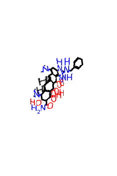 CN(C)c1cc(NC(=N)NCC2=CCCC=C2)c(N=O)c2c1C[C@H]1C[C@H]3C(N(C)C)C(O)C(C(N)=O)C(=O)[C@@]3(O)C(O)=C1C2=O